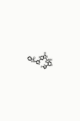 O=C(Nc1cncc(-c2cc3c(-c4nc5c(-c6ccc(F)s6)cncc5[nH]4)n[nH]c3cn2)c1)c1ccccc1